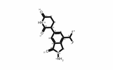 NN1Cc2c(C(F)F)[c]c(C3CCC(=O)NC3=O)cc2C1=O